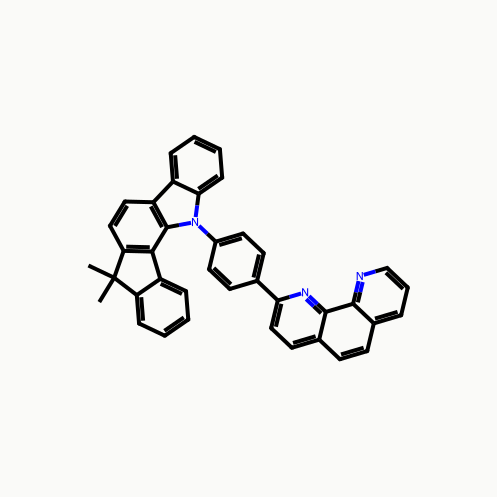 CC1(C)c2ccccc2-c2c1ccc1c3ccccc3n(-c3ccc(-c4ccc5ccc6cccnc6c5n4)cc3)c21